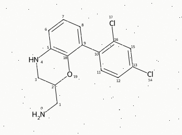 NCC1CNc2cccc(-c3ccc(Cl)cc3Cl)c2O1